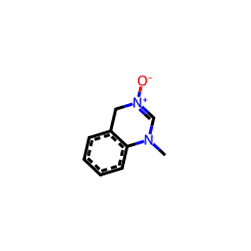 CN1C=[N+]([O-])Cc2ccccc21